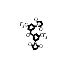 O=C(c1cc(N2C(=O)C=CC2=O)cc(C(F)(F)F)c1)c1cc(N2C(=O)C=CC2=O)cc(C(F)(F)F)c1